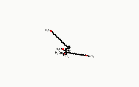 CCCCCCCCCCCCCCCCC=CCCCc1ccccc1C1=C(CCCCC)C=C(c2ccccc2CCCC=CCCCCCCCCCCCCCCCCCC)[N+]1=[N-].CC[CH2][Ni][CH2]CC